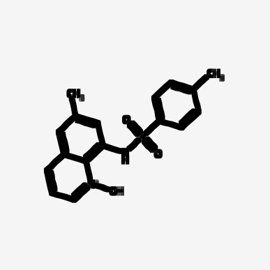 Cc1ccc(S(=O)(=O)Nc2cc(C)cc3ccc[n+](O)c23)cc1